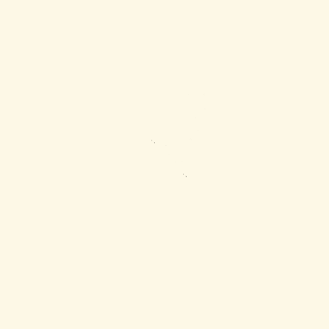 CCCCCCNC(=O)c1cc(Cl)c2c3c(Cl)ccc4ccc(Cl)c(c5c(Cl)cc(C(=O)NCCCCCC)c1c25)c43